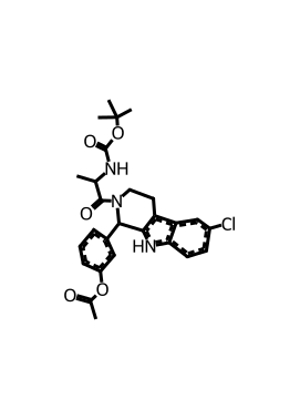 CC(=O)Oc1cccc(C2c3[nH]c4ccc(Cl)cc4c3CCN2C(=O)C(C)NC(=O)OC(C)(C)C)c1